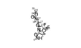 CNC(=O)c1csc2c(C(F)(F)F)cc(OC3(C)CN(C(=O)OC(C)(C)C)C3)nc12